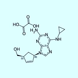 Nc1nc(NC2CC2)c2ncn([C@H]3C=C[C@@H](CO)C3)c2n1.O=C(O)C(=O)O